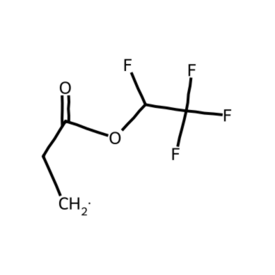 [CH2]CC(=O)OC(F)C(F)(F)F